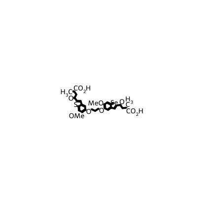 COc1cc2sc(C(=O)CC(C)C(=O)O)cc2cc1OCCCOc1cc2cc(C(=O)CC(C)C(=O)O)[se]c2cc1OC